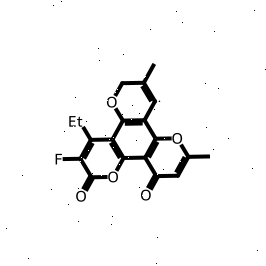 CCc1c(F)c(=O)oc2c1c1c(c3oc(C)cc(=O)c32)[C]=C(C)CO1